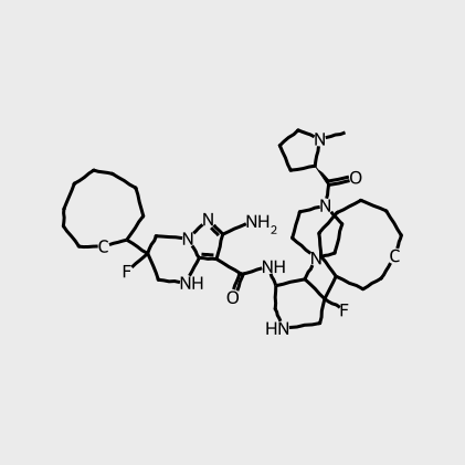 CN1CCC[C@@H]1C(=O)N1CCN(C2C(NC(=O)c3c(N)nn4c3NCC(F)(C3CCCCCCCCC3)C4)CNCC2(F)C2CCCCCCCCC2)CC1